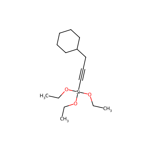 CCO[Si](C#CCC1CCCCC1)(OCC)OCC